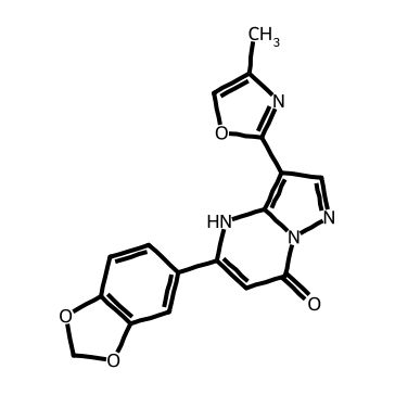 Cc1coc(-c2cnn3c(=O)cc(-c4ccc5c(c4)OCO5)[nH]c23)n1